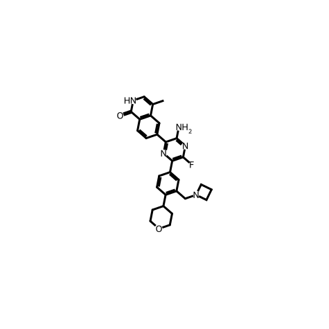 Cc1c[nH]c(=O)c2ccc(-c3nc(-c4ccc(C5CCOCC5)c(CN5CCC5)c4)c(F)nc3N)cc12